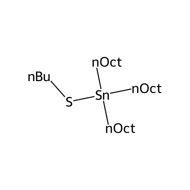 CCCCCCC[CH2][Sn]([CH2]CCCCCCC)([CH2]CCCCCCC)[S]CCCC